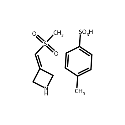 CS(=O)(=O)C=C1CNC1.Cc1ccc(S(=O)(=O)O)cc1